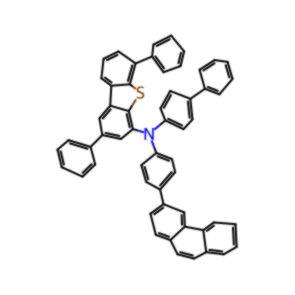 c1ccc(-c2ccc(N(c3ccc(-c4ccc5ccc6ccccc6c5c4)cc3)c3cc(-c4ccccc4)cc4c3sc3c(-c5ccccc5)cccc34)cc2)cc1